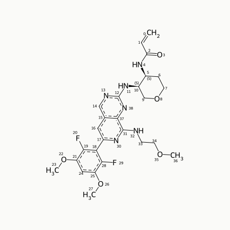 C=CC(=O)N[C@H]1CCOC[C@H]1Nc1ncc2cc(-c3c(F)c(OC)cc(OC)c3F)nc(NCCOC)c2n1